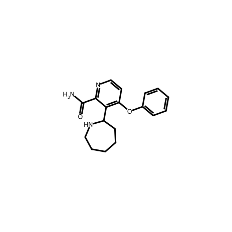 NC(=O)c1nccc(Oc2ccccc2)c1C1CCCCCN1